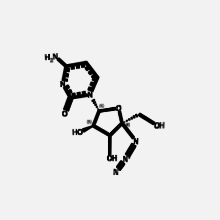 [N-]=[N+]=N[C@]1(CO)O[C@@H](n2ccc(N)nc2=O)[C@H](O)C1O